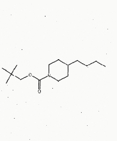 CCCCC1CCN(C(=O)OCC(C)(C)C)CC1